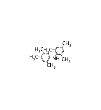 Cc1cc(C)c(Nc2cc(C)c(C)cc2C)c(C)c1